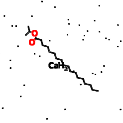 CCCCCCCCCCCCCCCCCC(=O)OC(C)C.[CaH2]